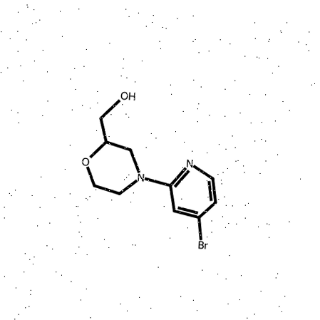 OCC1CN(c2cc(Br)ccn2)CCO1